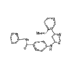 COc1ccccc1-c1cc(Nc2ccc(C(=O)Nc3ccccc3)cc2)ncn1